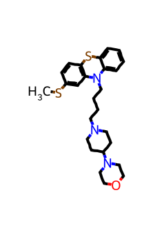 CSc1ccc2c(c1)N(CCCCN1CCC(N3CCOCC3)CC1)c1ccccc1S2